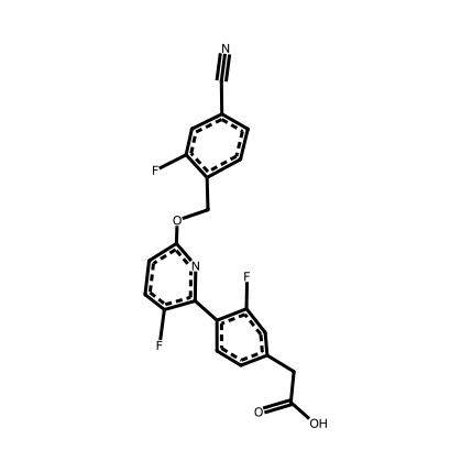 N#Cc1ccc(COc2ccc(F)c(-c3ccc(CC(=O)O)cc3F)n2)c(F)c1